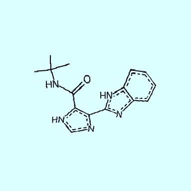 CC(C)(C)NC(=O)c1[nH]cnc1-c1nc2ccccc2[nH]1